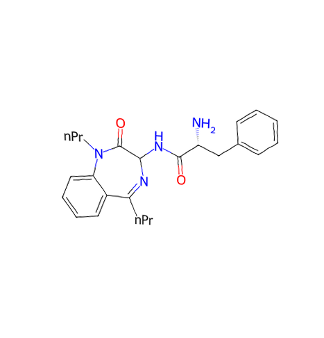 CCCC1=NC(NC(=O)[C@H](N)Cc2ccccc2)C(=O)N(CCC)c2ccccc21